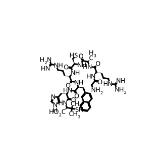 C[C@H](NC(=O)[C@H](CCCNC(=N)N)NC(=O)CN)C(=O)N[C@H](CS)C(=O)N[C@@H](CCCNC(=N)N)C(=O)N[C@@H](Cc1ccc2ccccc2c1)C(=O)N[C@@H](Cc1c[nH]cn1)C(=O)N[C@H](C(=O)O)C(C)(C)S